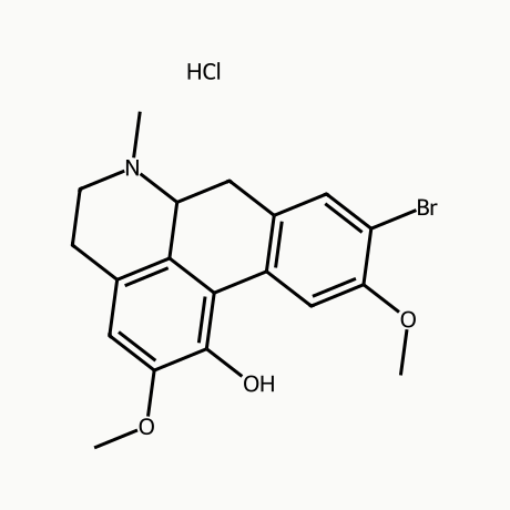 COc1cc2c(cc1Br)CC1c3c(cc(OC)c(O)c3-2)CCN1C.Cl